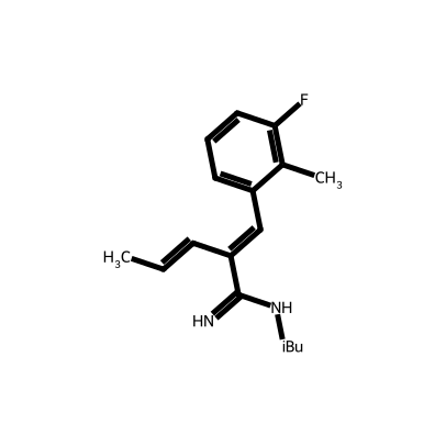 C/C=C/C(=C\c1cccc(F)c1C)C(=N)NC(C)CC